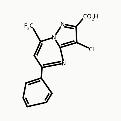 O=C(O)c1nn2c(C(F)(F)F)cc(-c3ccccc3)nc2c1Cl